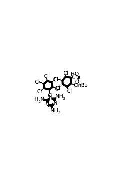 CCCCOCO.Cl[C@H]1[C@H](Cl)[C@@H](Cl)[C@@H](Cl)[C@H](Cl)[C@H]1Cl.Cl[C@H]1[C@H](Cl)[C@@H](Cl)[C@@H](Cl)[C@H](Cl)[C@H]1Cl.Nc1nc(N)nc(N)n1